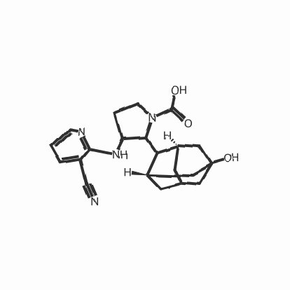 N#Cc1cccnc1NC1CCN(C(=O)O)C1C1[C@@H]2CC3C[C@H]1CC(O)(C3)C2